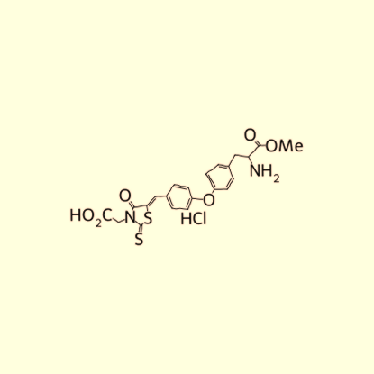 COC(=O)C(N)Cc1ccc(Oc2ccc(/C=C3\SC(=S)N(CC(=O)O)C3=O)cc2)cc1.Cl